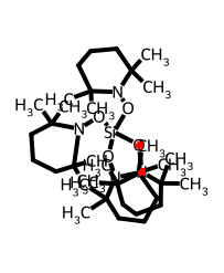 CC1(C)CCCC(C)(C)N1O[Si](ON1C(C)(C)CCCC1(C)C)(ON1C(C)(C)CCCC1(C)C)ON1C(C)(C)CCCC1(C)C